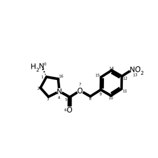 N[C@H]1CCN(C(=O)OCc2ccc([N+](=O)[O-])cc2)C1